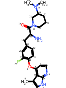 Cc1c[nH]c2nccc(Oc3ccc(CC(N)C(=O)N4CCCC(N(C)C)C4)cc3F)c12